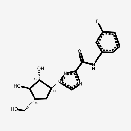 O=C(Nc1cccc(F)c1)c1ncn([C@@H]2C[C@H](CO)C(O)[C@@H]2O)n1